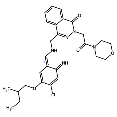 CCC(C)COC1=C/C(=C/NCc2nn(CC(=O)N3CCOCC3)c(=O)c3ccccc23)C(=N)C=C1Cl